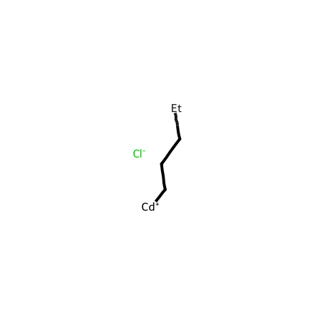 CCCC[CH2][Cd+].[Cl-]